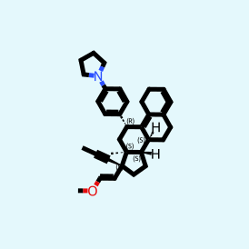 CC#C[C@]1(C=COC)CC[C@H]2[C@@H]3CCC4=C=CCCC4=C3[C@@H](c3ccc(N4CCCC4)cc3)C[C@@]21C